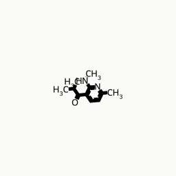 CNc1nc(C)ccc1C(=O)C(C)C